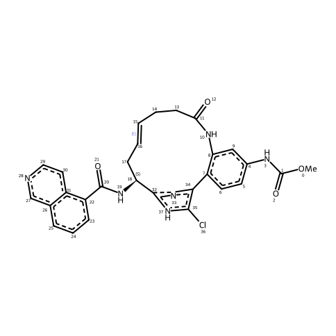 COC(=O)Nc1ccc2c(c1)NC(=O)CC/C=C/C[C@H](NC(=O)c1cccc3cnccc13)c1nc-2c(Cl)[nH]1